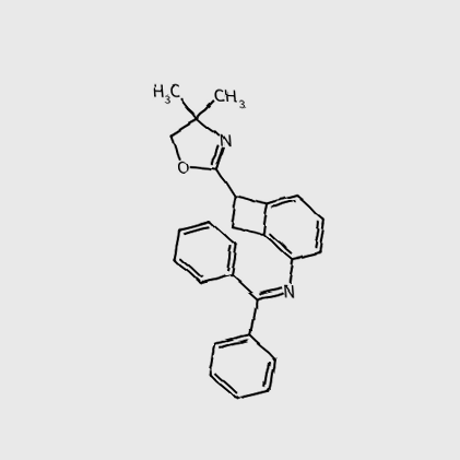 CC1(C)COC(C2Cc3c(N=C(c4ccccc4)c4ccccc4)cccc32)=N1